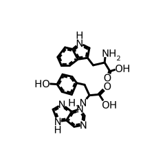 NC(Cc1c[nH]c2ccccc12)C(=O)O.NC(Cc1ccc(O)cc1)C(=O)O.c1ncc2[nH]cnc2n1